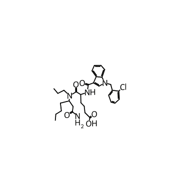 CCCCC(CC(N)=O)N(CCC)C(=O)C(CCCC(=O)O)NC(=O)c1cn(Cc2ccccc2Cl)c2ccccc12